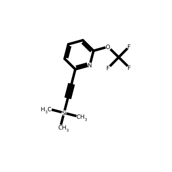 C[Si](C)(C)C#Cc1cccc(OC(F)(F)F)n1